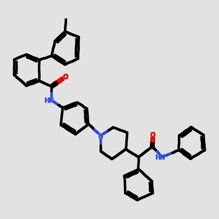 Cc1cccc(-c2ccccc2C(=O)Nc2ccc(N3CCC(C(C(=O)Nc4ccccc4)c4ccccc4)CC3)cc2)c1